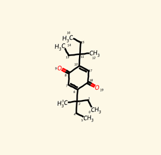 CCC(C)(CC)C1=CC(=O)C(C(C)(CC)CC)=CC1=O